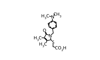 CC1=C(C)C(SCC(=O)O)N(Cc2ccc(N(C)C)cc2)C1=O